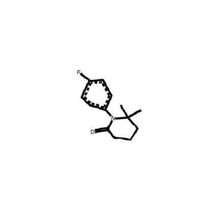 CC1(C)CCCC(=O)N1c1ccc(F)cc1